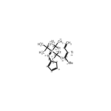 C=CC=CC(C)(C)C.CCC(C)(C)P(=NC1=CC=CC1)(C(C)(C)CC)C(C)(C)CC.[Ti]